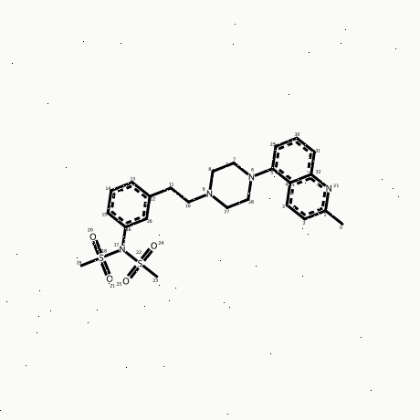 Cc1ccc2c(N3CCN(CCc4cccc(N(S(C)(=O)=O)S(C)(=O)=O)c4)CC3)cccc2n1